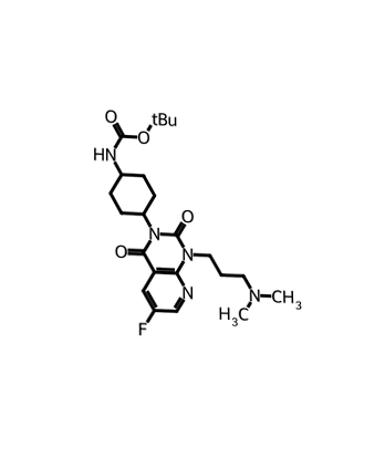 CN(C)CCCn1c(=O)n(C2CCC(NC(=O)OC(C)(C)C)CC2)c(=O)c2cc(F)cnc21